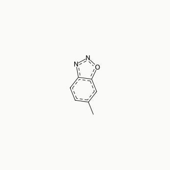 Cc1ccc2nnoc2c1